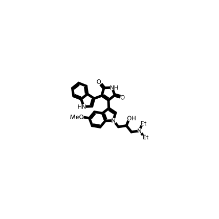 CCN(CC)CC(O)Cn1cc(C2=C(c3c[nH]c4ccccc34)C(=O)NC2=O)c2cc(OC)ccc21